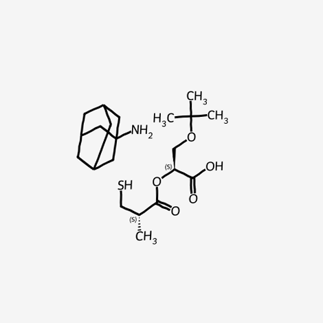 C[C@H](CS)C(=O)O[C@@H](COC(C)(C)C)C(=O)O.NC12CC3CC(CC(C3)C1)C2